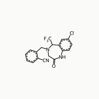 N#Cc1ccccc1CN1CC(=O)Nc2ccc(Cl)cc2C1C(F)(F)F